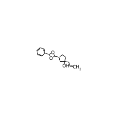 C=CCC1(O)CCC(C2OC(c3ccccc3)O2)C1